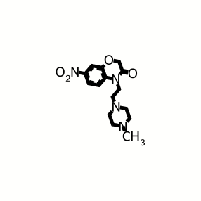 CN1CCN(CCN2C(=O)COc3cc([N+](=O)[O-])ccc32)CC1